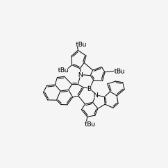 CC(C)(C)c1cc2c3c(c1)c1ccc4ccccc4c1n3B1c3c-2c2ccc4cccc5ccc(c3-n3c6c1cc(C(C)(C)C)cc6c1cc(C(C)(C)C)cc(C(C)(C)C)c13)c2c45